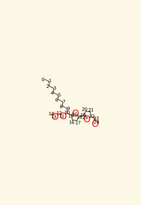 CCCCCCCCCCC(OCOC)C1CCC(C2CCC(C=O)O2)O1